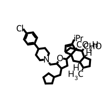 CC(C)C1=CC2CC3(C=O)[C@@H]4CC[C@@H](C)[C@H]4CC2(C2CC(CC4CCCC4)C(CN4CCC(c5ccc(Cl)cc5)CC4)O2)[C@]13C(=O)O